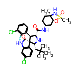 CC(C)(C)C[C@H]1N[C@@H](C(=O)N[C@H]2CC[C@](C)(NS(C)(=O)=O)CC2)[C@H](c2cccc(Cl)c2F)[C@@]12C(=O)Nc1cc(Cl)ccc12